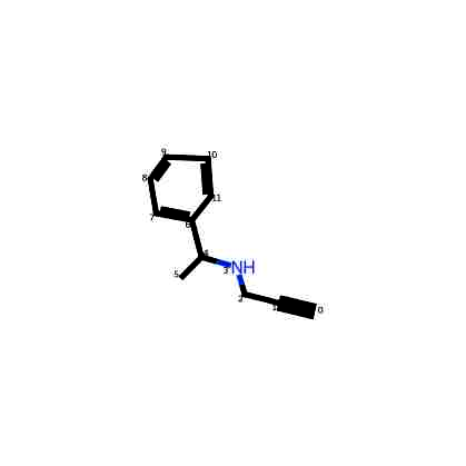 C#CCNC(C)c1ccccc1